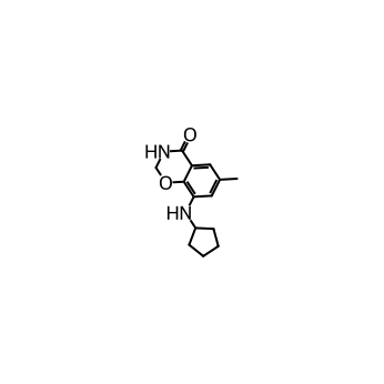 Cc1cc(NC2CCCC2)c2c(c1)C(=O)NCO2